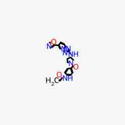 C=CC(=O)Nc1ccc(C(=O)N2CCC(Nc3nc4ccc(-c5cnco5)cn4n3)C2)cc1